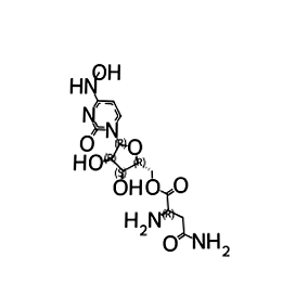 NC(=O)C[C@@H](N)C(=O)OC[C@H]1O[C@@H](n2ccc(NO)nc2=O)[C@H](O)[C@@H]1O